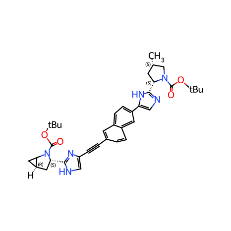 C[C@H]1C[C@@H](c2ncc(-c3ccc4cc(C#Cc5c[nH]c([C@@H]6C[C@H]7CC7N6C(=O)OC(C)(C)C)n5)ccc4c3)[nH]2)N(C(=O)OC(C)(C)C)C1